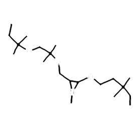 CCC(C)(C)CCOC1C(COC(C)(C)COC(C)(C)CC)N1C